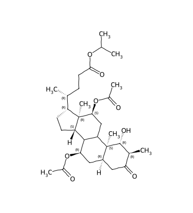 CC(=O)O[C@H]1CC2C([C@H](OC(C)=O)C[C@@H]3CC(=O)[C@H](C)[C@@H](O)[C@]23C)[C@@H]2CC[C@H]([C@H](C)CCC(=O)OC(C)C)[C@@]12C